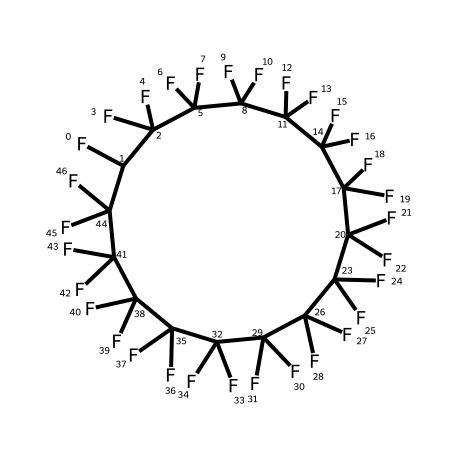 FC1C(F)(F)C(F)(F)C(F)(F)C(F)(F)C(F)(F)C(F)(F)C(F)(F)C(F)(F)C(F)(F)C(F)(F)C(F)(F)C(F)(F)C(F)(F)C(F)(F)C1(F)F